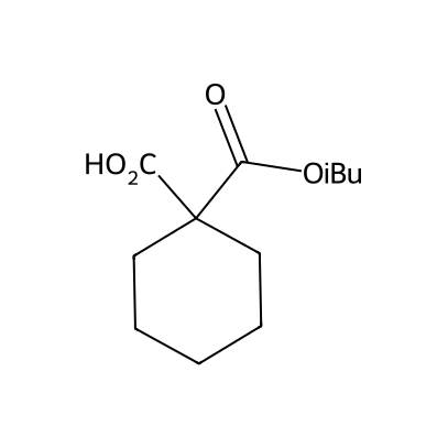 CC(C)COC(=O)C1(C(=O)O)CCCCC1